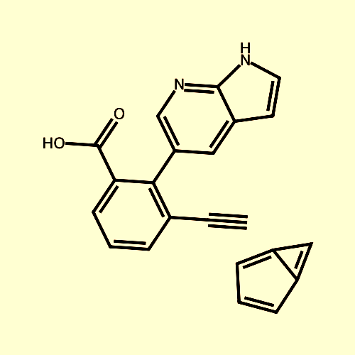 C#Cc1cccc(C(=O)O)c1-c1cnc2[nH]ccc2c1.c1cc2cc-2c1